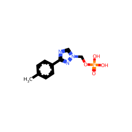 Cc1ccc(-c2ncn(COP(=O)(O)O)n2)cc1